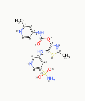 Cc1cc(NC(=O)Oc2nc(C)sc2Nc2cncc(S(N)(=O)=O)c2)ccn1